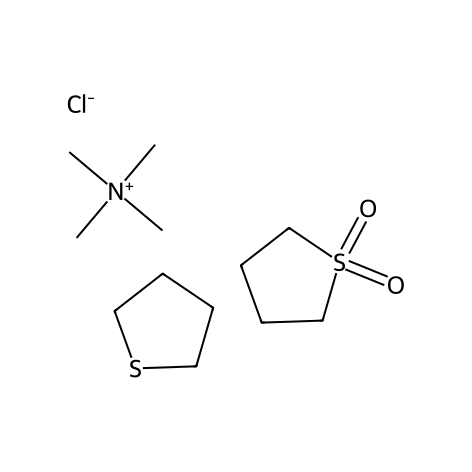 C1CCSC1.C[N+](C)(C)C.O=S1(=O)CCCC1.[Cl-]